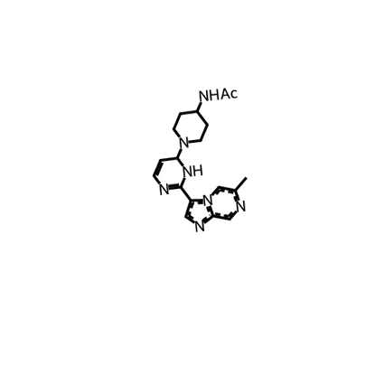 CC(=O)NC1CCN(C2C=CN=C(c3cnc4cnc(C)cn34)N2)CC1